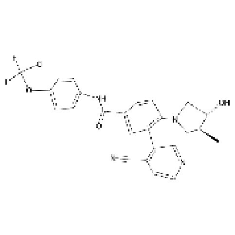 C[C@H]1CN(c2ccc(C(=O)Nc3ccc(OC(F)(F)Cl)cc3)cc2-c2cnccc2C#N)C[C@@H]1O